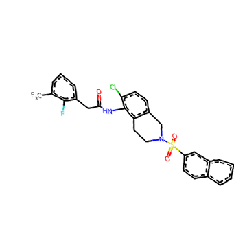 O=C(Cc1cccc(C(F)(F)F)c1F)Nc1c(Cl)ccc2c1CCN(S(=O)(=O)c1ccc3ccccc3c1)C2